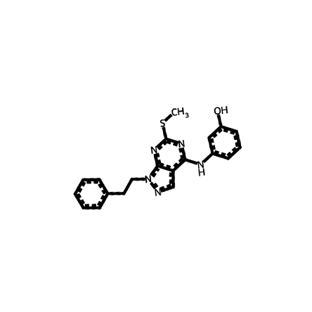 CSc1nc(Nc2cccc(O)c2)c2cnn(CCc3ccccc3)c2n1